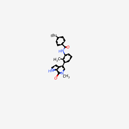 Cc1c(NC(=O)c2ccc(C(C)(C)C)cc2)cccc1-c1cn(C)c(=O)c2[nH]ccc12